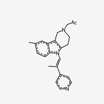 CC(=O)CN1CCc2c(c3cc(C)ccc3n2C=C(C)c2ccncc2)C1